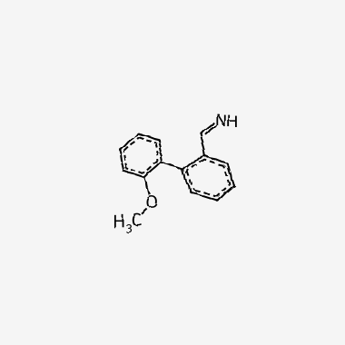 COc1ccccc1-c1ccccc1C=N